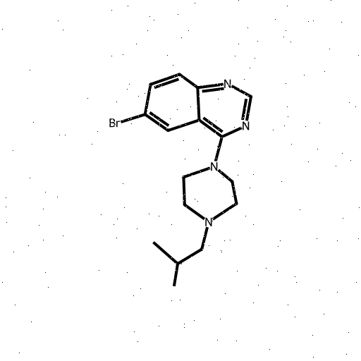 C[C](C)CN1CCN(c2ncnc3ccc(Br)cc23)CC1